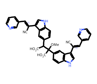 COC(C(=O)O)(c1ccc2[nH]cc(/C(C#N)=C/c3cccnc3)c2c1)C(C(=O)O)c1ccc2[nH]cc(/C(C#N)=C/c3cccnc3)c2c1